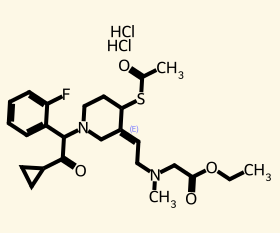 CCOC(=O)CN(C)C/C=C1\CN(C(C(=O)C2CC2)c2ccccc2F)CCC1SC(C)=O.Cl.Cl